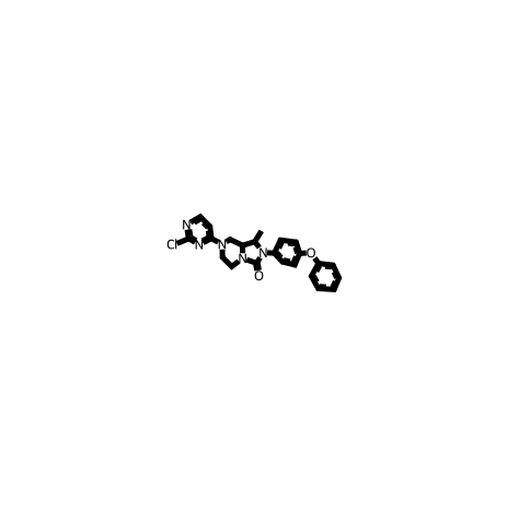 CC1C2CN(c3ccnc(Cl)n3)CCN2C(=O)N1c1ccc(Oc2ccccc2)cc1